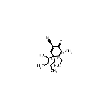 CCC[C@@]1(C(C)CC)C=C(C#N)C(=O)[C@H](C)[C@H]1CC